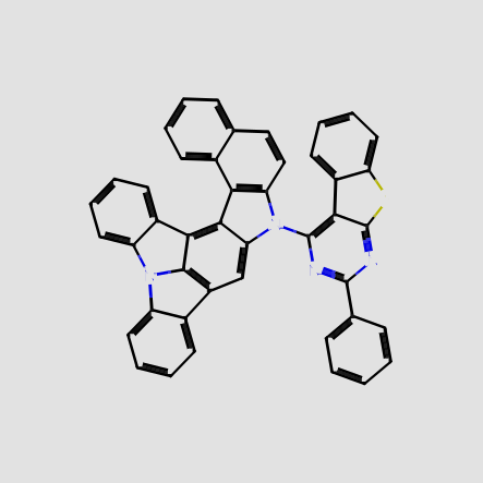 c1ccc(-c2nc(-n3c4ccc5ccccc5c4c4c5c6ccccc6n6c7ccccc7c(cc43)c56)c3c(n2)sc2ccccc23)cc1